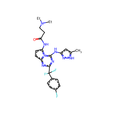 CCN(CC)CCC(=O)Nc1ccc2nc(C(F)(F)c3ccc(F)cc3)nc(Nc3cc(C)[nH]n3)n12